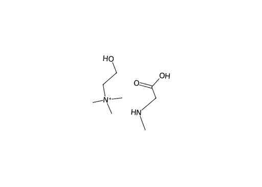 CNCC(=O)O.C[N+](C)(C)CCO